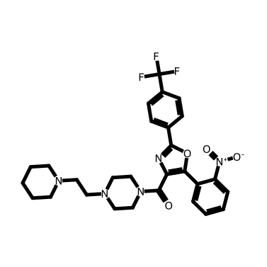 O=C(c1nc(-c2ccc(C(F)(F)F)cc2)oc1-c1ccccc1[N+](=O)[O-])N1CCN(CCN2CCCCC2)CC1